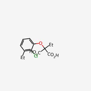 CCc1cccc(OC(CC)(C(=O)O)C(=O)O)c1Cl